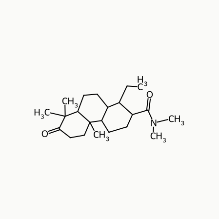 CCC1C(C(=O)N(C)C)CCC2C1CCC1C(C)(C)C(=O)CCC21C